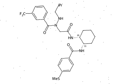 CSc1ccc(C(=O)N[C@H]2CCCC[C@H]2NC(=O)CN(NCC(C)C)C(=O)c2cccc(C(F)(F)F)c2)cc1